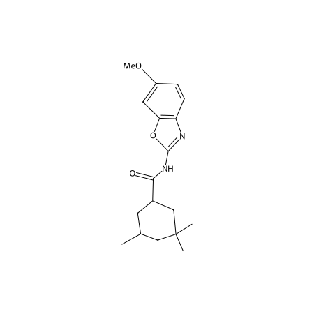 COc1ccc2nc(NC(=O)C3CC(C)CC(C)(C)C3)oc2c1